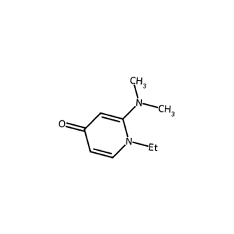 CCn1ccc(=O)cc1N(C)C